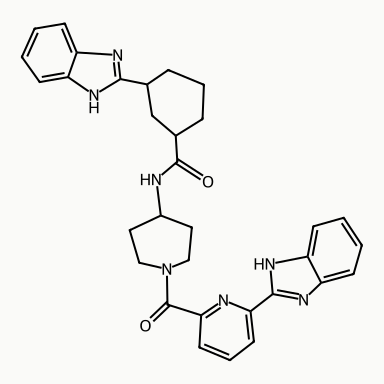 O=C(NC1CCN(C(=O)c2cccc(-c3nc4ccccc4[nH]3)n2)CC1)C1CCCC(c2nc3ccccc3[nH]2)C1